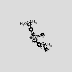 CC(Cn1cnnn1)Oc1cc(-c2cnc(Nc3cn(C4CCC(N5C[C@@H](C)O[C@@H](C)C5)CC4)nc3OCCn3cccn3)nc2)ccc1Cl